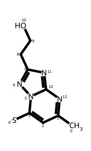 Cc1cc([S])n2nc(CCO)nc2n1